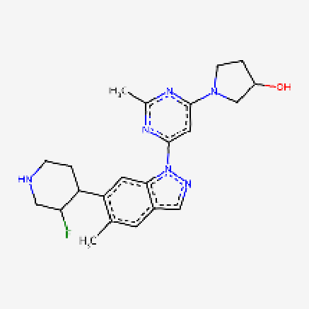 Cc1nc(N2CCC(O)C2)cc(-n2ncc3cc(C)c(C4CCNCC4F)cc32)n1